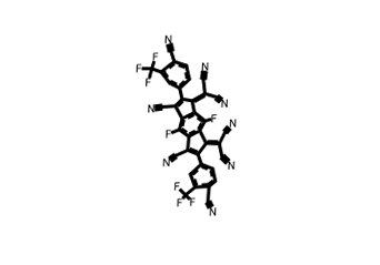 N#CC(C#N)=C1C(c2ccc(C#N)c(C(F)(F)F)c2)=C(C#N)c2c(F)c3c(c(F)c21)C(=C(C#N)C#N)C(c1ccc(C#N)c(C(F)(F)F)c1)=C3C#N